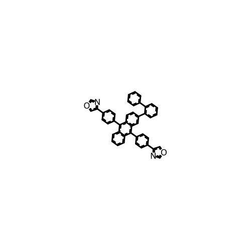 c1ccc(-c2ccccc2-c2ccc3c(-c4ccc(-c5cocn5)cc4)c4ccccc4c(-c4ccc(-c5cocn5)cc4)c3c2)cc1